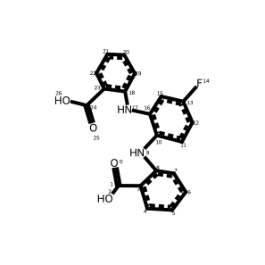 O=C(O)c1ccccc1Nc1ccc(F)cc1Nc1ccccc1C(=O)O